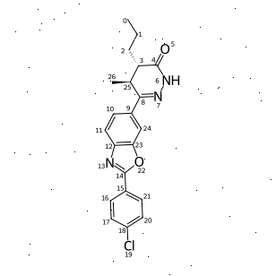 CCC[C@@H]1C(=O)NN=C(c2ccc3nc(-c4ccc(Cl)cc4)oc3c2)[C@H]1C